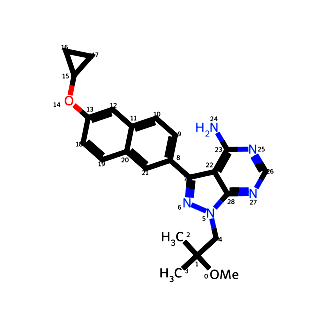 COC(C)(C)Cn1nc(-c2ccc3cc(OC4CC4)ccc3c2)c2c(N)ncnc21